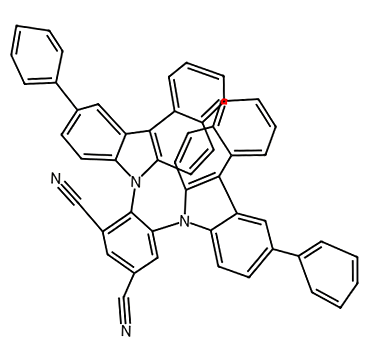 N#Cc1cc(C#N)c(-n2c3ccc(-c4ccccc4)cc3c3c4ccccc4ccc32)c(-n2c3ccc(-c4ccccc4)cc3c3c4ccccc4ccc32)c1